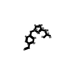 C=Cc1ccc(Cn2cnc(SC(C)C)n2)cc1